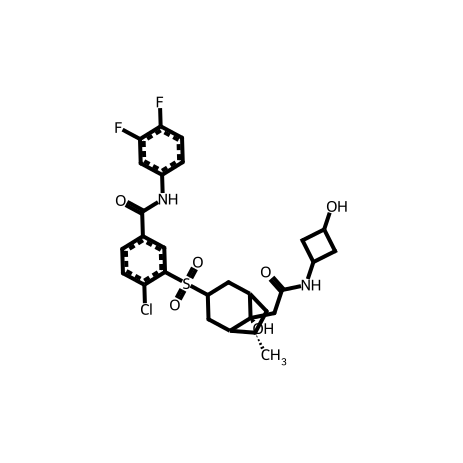 C[C@H]1CC2CC(S(=O)(=O)c3cc(C(=O)Nc4ccc(F)c(F)c4)ccc3Cl)CC1[C@@]2(O)CC(=O)NC1CC(O)C1